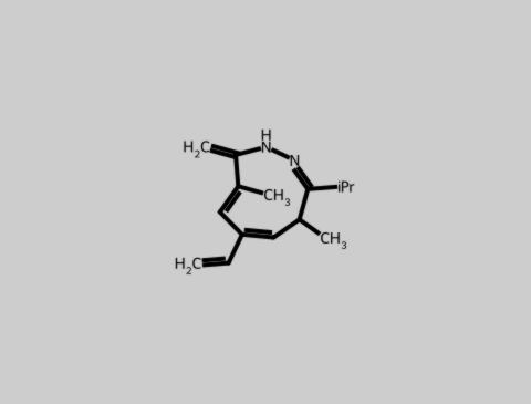 C=CC1=C/C(C)/C(C(C)C)=N\NC(=C)\C(C)=C\1